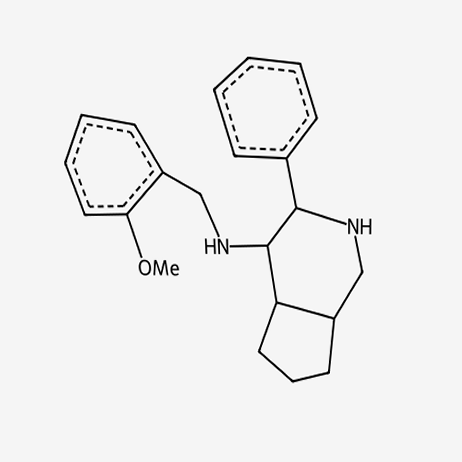 COc1ccccc1CNC1C(c2ccccc2)NCC2CCCC21